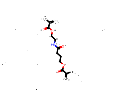 C=C(C)C(=O)OCCCC(=O)NCCOC(=O)C(=C)C